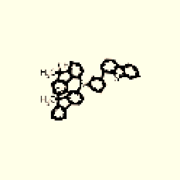 CC1(C)c2ccccc2-c2ccc(N(c3cccc(-c4cccc5c4sc4ccccc45)c3)c3cccc4c3-c3ccccc3C4(C)C)cc21